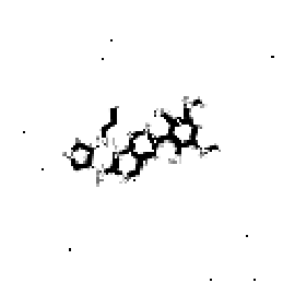 C=CCN[C@H]1COC[C@H]1Nc1ncc2cc(-c3c(Cl)c(OC)cc(OC)c3Cl)ncc2n1